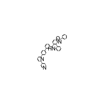 c1ccc(-c2nc3c4c(ccc3o2)C(c2cccc(-c3ccc(-c5cccc(-c6ccncc6)n5)cc3)c2)Nc2ccccc2-4)cc1